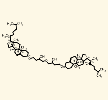 CC(C)CCC[C@@H](C)[C@H]1CC[C@H]2[C@@H]3CC=C4C[C@@H](OCCC(O)COCC(O)CCO[C@H]5CC[C@@]6(C)C(=CC[C@H]7[C@@H]8CC[C@H]([C@H](C)CCCC(C)C)[C@@]8(C)CC[C@@H]76)C5)CC[C@]4(C)[C@H]3CC[C@]12C